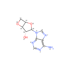 Nc1ncnc2c1ncn2C1OC2COC2[C@H]1O